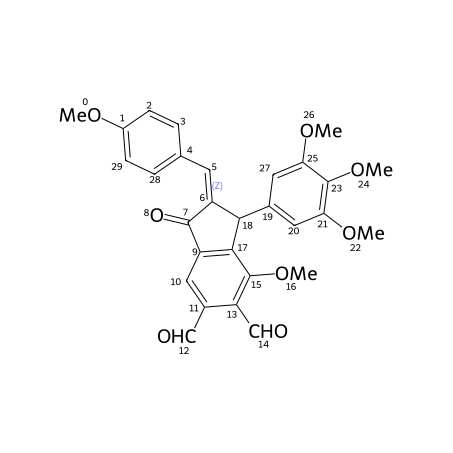 COc1ccc(/C=C2\C(=O)c3cc(C=O)c(C=O)c(OC)c3C2c2cc(OC)c(OC)c(OC)c2)cc1